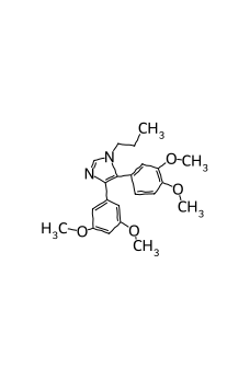 CCCn1cnc(-c2cc(OC)cc(OC)c2)c1-c1ccc(OC)c(OC)c1